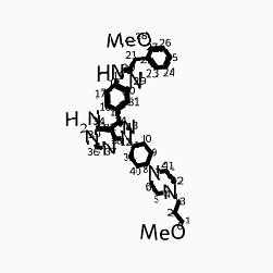 COCCCN1CCN(C2CCC(n3nc(-c4ccc5[nH]c(Cc6ccccc6OC)nc5c4)c4c(N)ncnc43)CC2)CC1